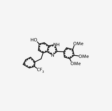 COc1cc(-c2nc3c(Cc4ccccc4C(F)(F)F)cc(O)cc3[nH]2)cc(OC)c1OC